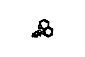 C1=Cc2ccccc2OC1.[Co].[Ga].[Ru]